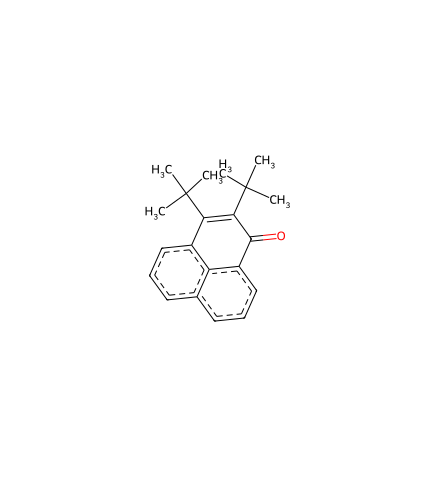 CC(C)(C)C1=C(C(C)(C)C)c2cccc3cccc(c23)C1=O